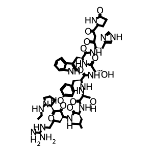 CCNN1CCC[C@H]1C(=O)C(=O)[C@H](CCCNC(N)N)NC(=O)[C@H](CC(C)C)NC(=O)C(CO)NN[C@@H](Cc1ccc(O)cc1)C(=O)N[C@@H](CO)C(=O)N[C@@H](Cc1c[nH]c2ccccc12)C(=O)N[C@@H](Cc1c[nH]cn1)C(=O)CC(=O)C1CCC(=O)N1